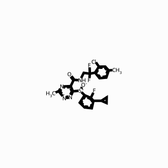 Cc1ccc(C(F)(F)CNC(=O)c2nc(C)nnc2[S+]([O-])c2cccc(C3CC3)c2F)c(Cl)c1